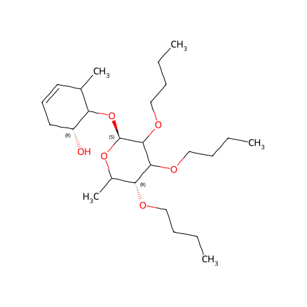 CCCCOC1C(OCCCC)[C@H](OCCCC)C(C)O[C@H]1OC1C(C)C=CC[C@H]1O